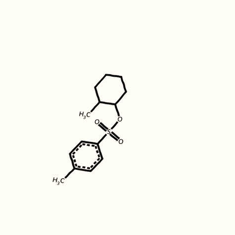 Cc1ccc(S(=O)(=O)OC2CCCCC2C)cc1